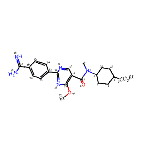 CCOC(=O)C1CCC(N(C)C(=O)c2cnc(-c3ccc(C(=N)N)cc3)nc2OCC)CC1